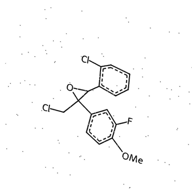 COc1ccc(C2(CCl)OC2c2ccccc2Cl)cc1F